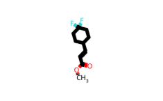 COC(=O)C=CC1CCC(F)(F)CC1